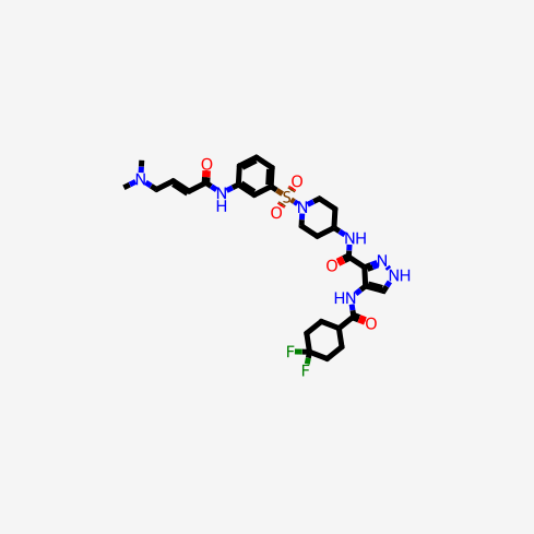 CN(C)C/C=C/C(=O)Nc1cccc(S(=O)(=O)N2CCC(NC(=O)c3n[nH]cc3NC(=O)C3CCC(F)(F)CC3)CC2)c1